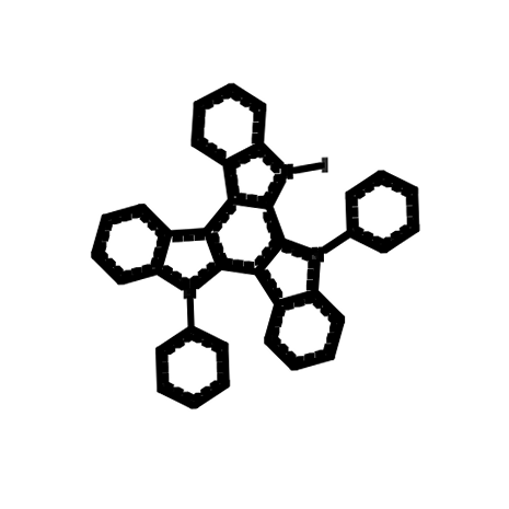 In1c2ccccc2c2c3c4ccccc4n(-c4ccccc4)c3c3c4ccccc4n(-c4ccccc4)c3c21